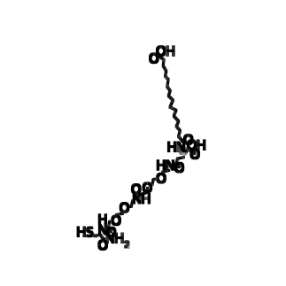 NC(=O)C(CS)NC(=O)COCCOCCNC(=O)COCCOCCNC(=O)CC[C@H](NC(=O)CCCCCCCCCCCCCCCCC(=O)O)C(=O)O